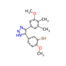 COc1ccc(-c2[nH]nnc2-c2cc(C)c(C)c(OC)c2)cc1S